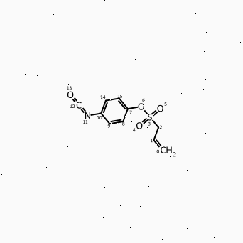 C=CCS(=O)(=O)Oc1ccc(N=C=O)cc1